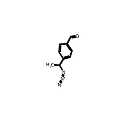 CC(N=[N+]=[N-])c1ccc(C=O)cc1